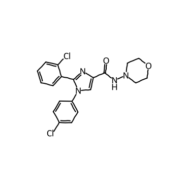 O=C(NN1CCOCC1)c1cn(-c2ccc(Cl)cc2)c(-c2ccccc2Cl)n1